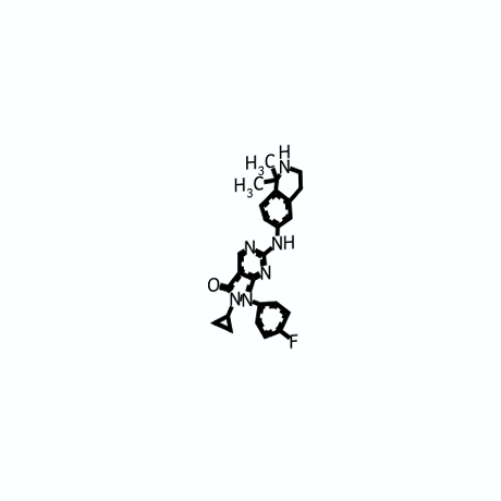 CC1(C)NCCc2cc(Nc3ncc4c(=O)n(C5CC5)n(-c5ccc(F)cc5)c4n3)ccc21